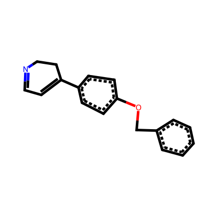 C1=NCCC(c2ccc(OCc3ccccc3)cc2)=C1